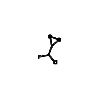 FC(Cl)[C]1OO1